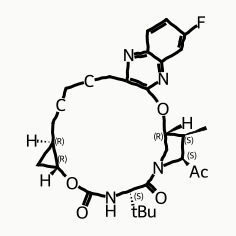 CC(=O)[C@@H]1[C@H](C)[C@@H]2CN1C(=O)[C@H](C(C)(C)C)NC(=O)O[C@@H]1C[C@H]1CCCCCc1nc3ccc(F)cc3nc1O2